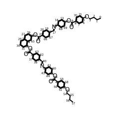 CCCCOc1ccc(C(=O)Oc2ccc(/N=C/c3ccc(C(=O)Oc4ccc5cccc(OC(=O)c6ccc(/C=N/c7ccc(OC(=O)c8ccc(OCCCC)cc8)cc7)cc6)c5c4)cc3)cc2)cc1